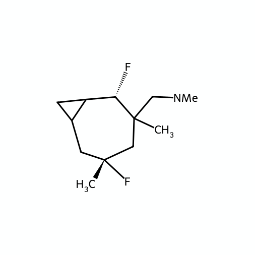 CNCC1(C)C[C@](C)(F)CC2CC2[C@@H]1F